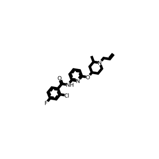 C=CCN1CCC(Oc2cccc(NC(=O)c3ccc(F)cc3Cl)n2)CC1C